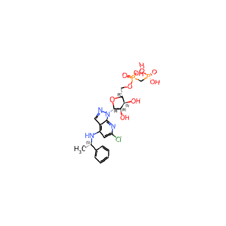 C[C@H](Nc1cc(Cl)nc2c1cnn2[C@@H]1O[C@H](COP(=O)(O)CP(=O)(O)O)[C@@H](O)[C@H]1O)c1ccccc1